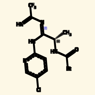 CCC(=O)N[C@@H](C)/C(=N/C(=N)C(F)(F)F)Nc1ccc(Cl)cn1